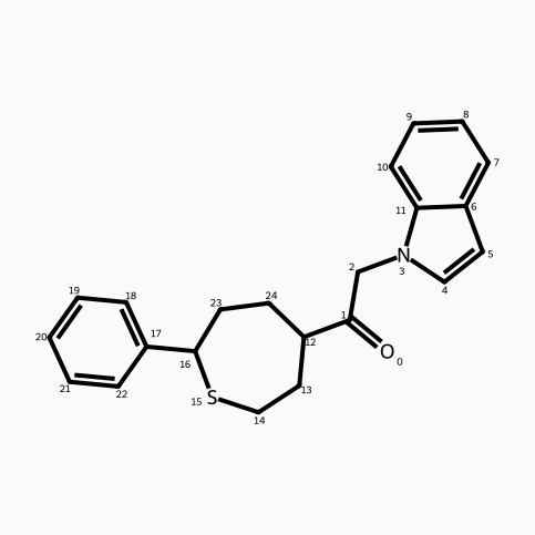 O=C(Cn1ccc2ccccc21)C1CCSC(c2ccccc2)CC1